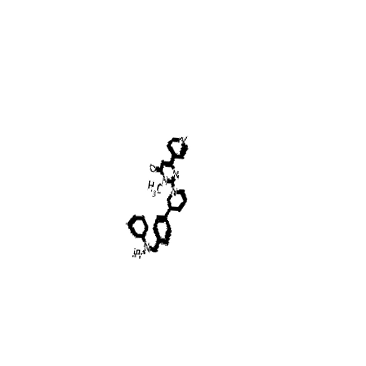 CC(C)N(Cc1ccc(C2CCCN(c3nc(-c4ccncc4)cc(=O)n3C)C2)cc1)C1CCCCC1